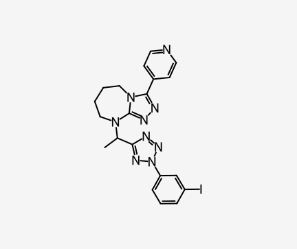 CC(c1nnn(-c2cccc(I)c2)n1)N1CCCCn2c(-c3ccncc3)nnc21